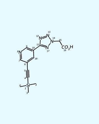 C[Si](C)(C)C#Cc1cncc(-c2nnn(CC(=O)O)n2)c1